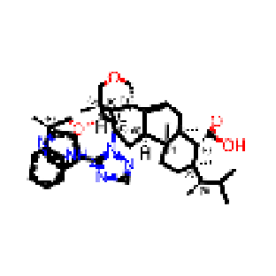 CC(C)[C@@H](C)[C@@]1(C)CC[C@]2(C)[C@H]3CC[C@@H]4[C@@]5(COC[C@@]4(C)[C@@H](OC[C@H](C)c4ccccc4N)[C@H](n4ncnc4-c4ccncc4)C5)C3=CC[C@@]2(C)[C@@H]1C(=O)O